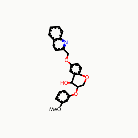 COc1cccc(OC2COc3ccc(OCc4ccc5ccccc5n4)cc3C2O)c1